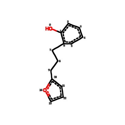 Oc1ccccc1CCCc1ccco1